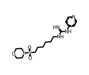 N=C(NCCCCCCS(=O)(=O)N1CCOCC1)Nc1ccncc1